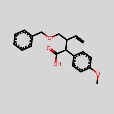 C=CC(COCc1ccccc1)C(C(=O)O)c1ccc(OC)cc1